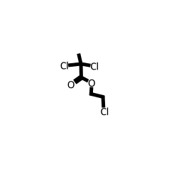 CC(Cl)(Cl)C(=O)OCCCl